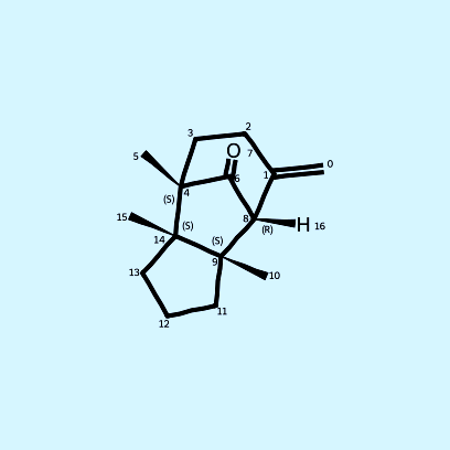 C=C1CC[C@]2(C)C(=O)[C@H]1[C@]1(C)CCC[C@@]12C